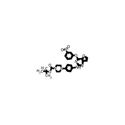 CC(C)(C)OC(=O)N1CCN(c2ccc(Nc3nc(Oc4cccc([N+](=O)[O-])c4)c4occc4n3)cc2)CC1